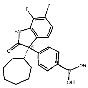 O=C1Nc2c(ccc(F)c2F)[C@]1(c1ccc(B(O)O)cc1)C1CCCCCC1